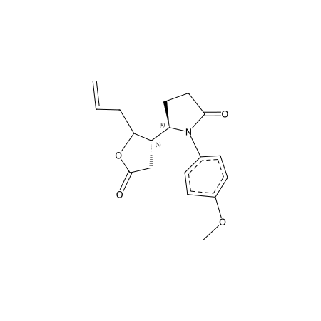 C=CCC1OC(=O)C[C@H]1[C@H]1CCC(=O)N1c1ccc(OC)cc1